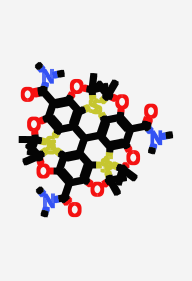 CN(C)C(=O)c1c2c(c([C](c3c4c(c(C(=O)N(C)C)c5c3SC(C)(C)O5)OC(C)(C)S4)c3c4c(c(C(=O)N(C)C)c5c3SC(C)(C)O5)OC(C)(C)S4)c3c1OC(C)(C)S3)SC(C)(C)O2